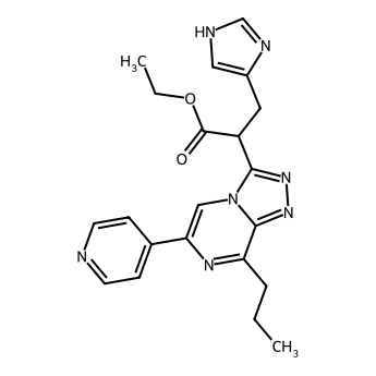 CCCc1nc(-c2ccncc2)cn2c(C(Cc3c[nH]cn3)C(=O)OCC)nnc12